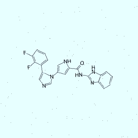 O=C(Nc1nc2ccccc2[nH]1)c1cc(-n2cncc2-c2cccc(F)c2F)c[nH]1